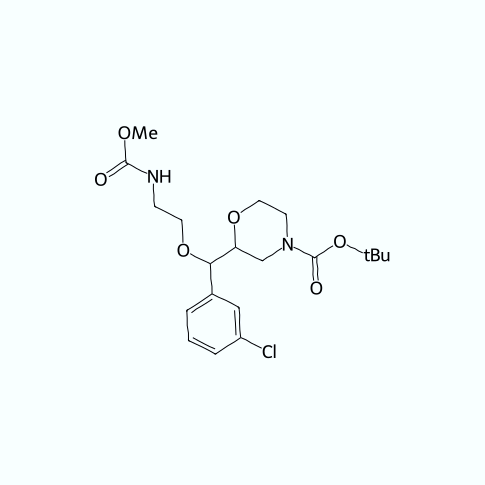 COC(=O)NCCOC(c1cccc(Cl)c1)C1CN(C(=O)OC(C)(C)C)CCO1